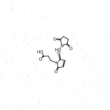 O=C(O)CCN1C(=O)C=CC1=O.O=C1CCC(=O)N1O